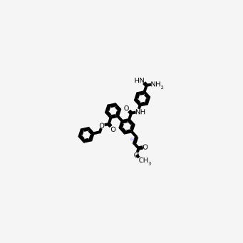 COC(=O)/C=C/c1ccc(-c2ccccc2C(=O)OCc2ccccc2)c(C(=O)Nc2ccc(C(=N)N)cc2)c1